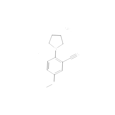 COc1ccc(N2CC[C@H](N)C2)c(C#N)c1.Cl